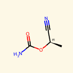 C[C@H](C#N)OC(N)=O